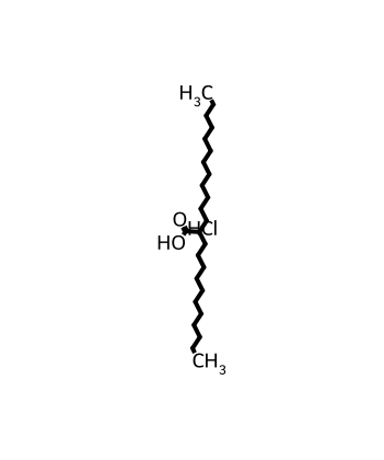 CCCCCCCCCCCCC(CCCCCCCCCCC)C(=O)O.Cl